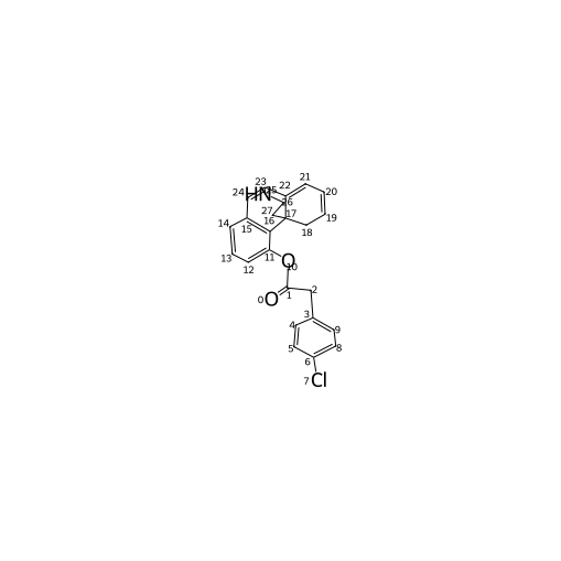 O=C(Cc1ccc(Cl)cc1)Oc1cccc2c1C13CC=CC=C1C(=C2)NCC3